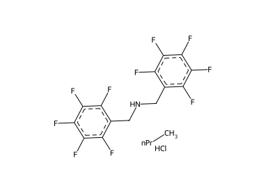 CCCC.Cl.Fc1c(F)c(F)c(CNCc2c(F)c(F)c(F)c(F)c2F)c(F)c1F